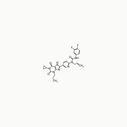 C=CCN(C(=O)Nc1ccc(F)c(F)c1)c1ccc(-c2nc3c([nH]2)c(=O)n(C2CC2)c(=O)n3CCC)cn1